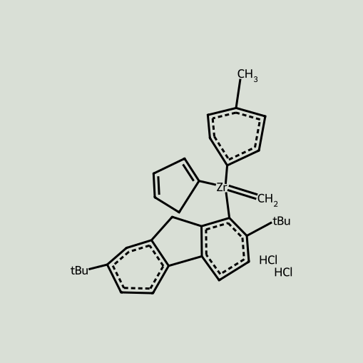 Cl.Cl.[CH2]=[Zr]([C]1=CC=CC1)([c]1ccc(C)cc1)[c]1c(C(C)(C)C)ccc2c1Cc1cc(C(C)(C)C)ccc1-2